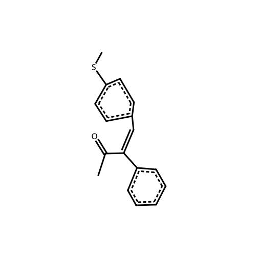 CSc1ccc(C=C(C(C)=O)c2ccccc2)cc1